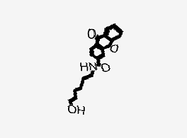 O=C(NCCCCCCO)c1ccc2c(c1)C(=O)c1ccccc1C2=O